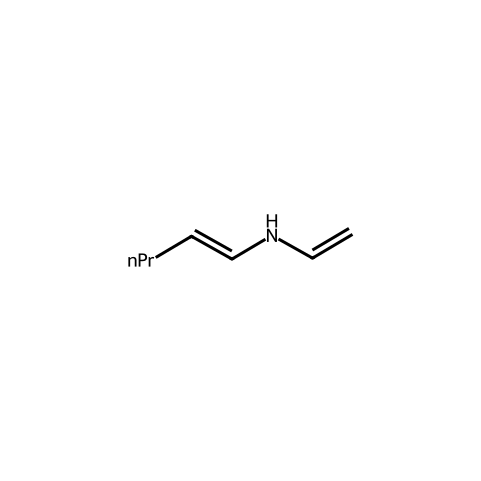 C=CNC=CCCC